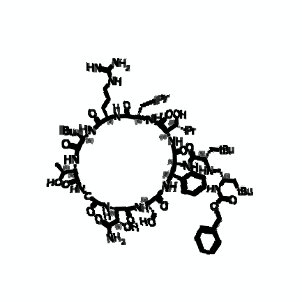 CC[C@H](C)[C@@H]1NC(=O)[C@@H](CCCNC(=N)N)NC(=O)[C@H](CC(C)C)NC(=O)[C@H]([C@H](O)C(C)C)NC(=O)[C@@H](NC(=O)[C@H](CC(C)(C)C)NC[C@H](CC(C)(C)C)NC(=O)OCc2ccccc2)[C@@H](c2ccccc2)NC(=O)[C@H](CO)NC(=O)[C@H]([C@H](O)C(N)=O)NC(=O)CNC(=O)[C@H]([C@H](C)O)NC1=O